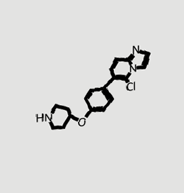 Clc1c(-c2ccc(OC3CCNCC3)cc2)ccc2nccn12